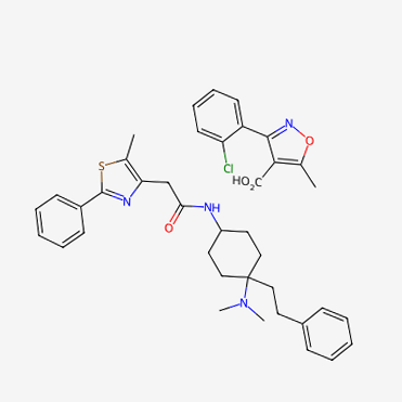 Cc1onc(-c2ccccc2Cl)c1C(=O)O.Cc1sc(-c2ccccc2)nc1CC(=O)NC1CCC(CCc2ccccc2)(N(C)C)CC1